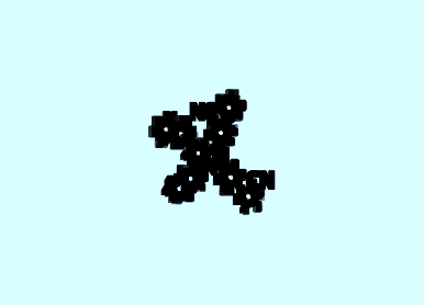 N#Cc1ccccc1-c1ccc(-c2nc(-c3ccc(-c4ccccc4C#N)cc3)c3cc(-c4ccc5ccccc5c4)cc(-c4ccc5ccccc5c4)c3n2)cc1